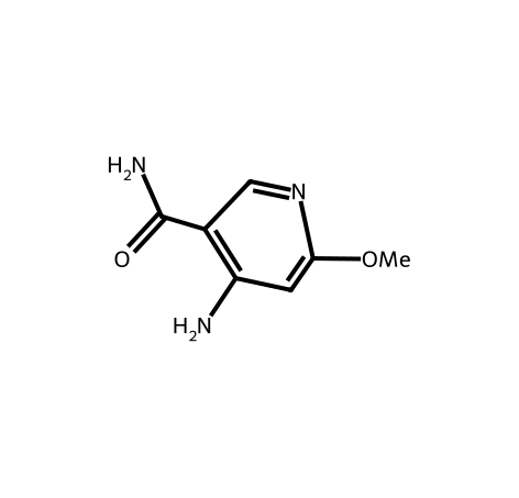 COc1cc(N)c(C(N)=O)cn1